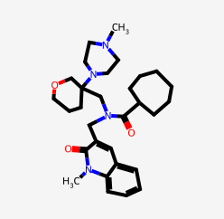 CN1CCN(C2(CN(Cc3cc4ccccc4n(C)c3=O)C(=O)C3CCCCCC3)CCCOC2)CC1